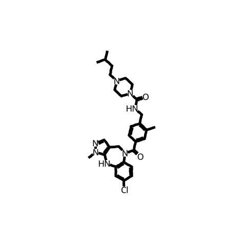 Cc1cc(C(=O)N2Cc3cnn(C)c3Nc3cc(Cl)ccc32)ccc1CNC(=O)N1CCN(CCC(C)C)CC1